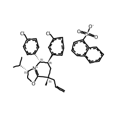 C=CC[C@@]1(C)C[C@H](c2cccc(Cl)c2)[C@@H](c2ccc(Cl)cc2)[N+]2=C1OC[C@@H]2C(C)C.O=S(=O)([O-])c1cccc2ccccc12